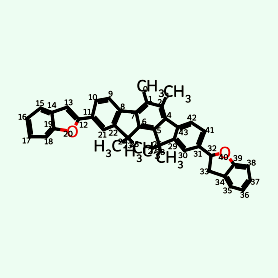 Cc1c(C)c2c(c3c1-c1ccc(-c4cc5ccccc5o4)cc1C3(C)C)C(C)(C)c1cc(C3Cc4ccccc4O3)ccc1-2